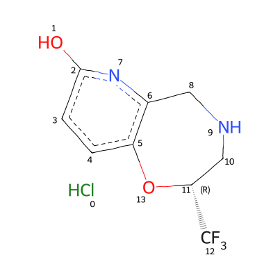 Cl.Oc1ccc2c(n1)CNC[C@H](C(F)(F)F)O2